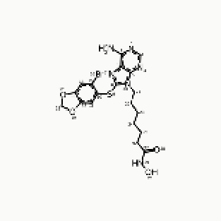 Nc1ncnc2c1nc(Sc1cc3c(cc1Br)OCO3)n2CCCCCCC(=O)NO